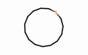 C1CCCCCCCSCCCCCC1